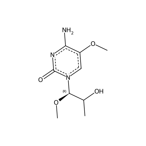 COc1cn([C@H](OC)C(C)O)c(=O)nc1N